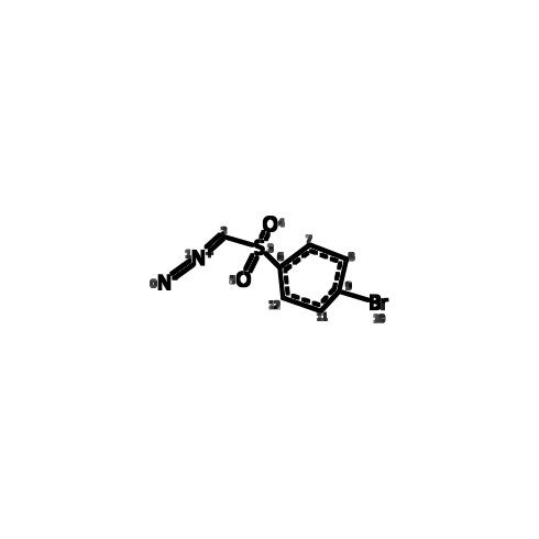 [N-]=[N+]=CS(=O)(=O)c1ccc(Br)cc1